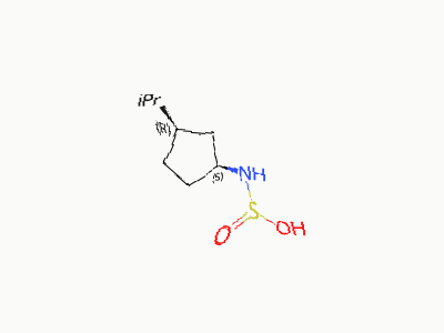 CC(C)[C@@H]1CC[C@H](NS(=O)O)C1